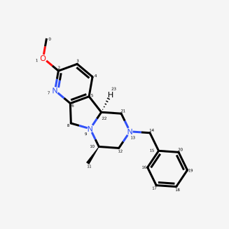 COc1ccc2c(n1)CN1[C@H](C)CN(Cc3ccccc3)C[C@H]21